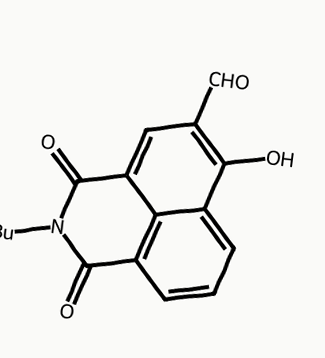 CCCCN1C(=O)c2cccc3c(O)c(C=O)cc(c23)C1=O